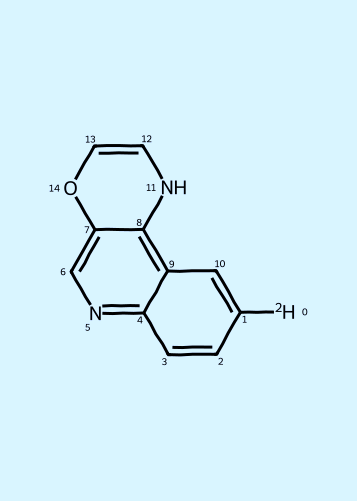 [2H]c1ccc2ncc3c(c2c1)NC=CO3